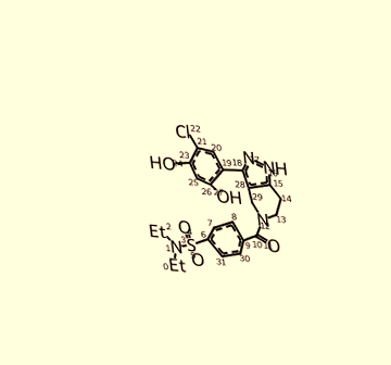 CCN(CC)S(=O)(=O)c1ccc(C(=O)N2CCc3[nH]nc(-c4cc(Cl)c(O)cc4O)c3C2)cc1